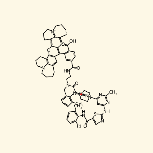 Cc1nc(Nc2ncc(C(=O)Nc3c(C)cccc3Cl)s2)cc(N2CCN(CC(=O)N(CCNC(=O)c3ccc(C(=O)O)c(C4=c5cc6c7c(c5Oc5c4cc4c8c5CCCN8CCCC4)CCC[N+]=7CCCC6)c3)Cc3cccc(C)c3N=[N+]=[N-])CC2)n1